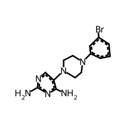 Nc1ncc(N2CCN(c3cccc(Br)c3)CC2)c(N)n1